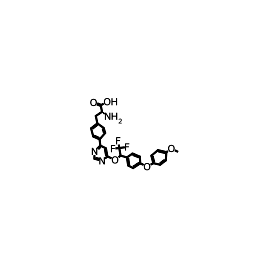 COc1ccc(Oc2ccc(C(Oc3cc(-c4ccc(C[C@H](N)C(=O)O)cc4)ncn3)C(F)(F)F)cc2)cc1